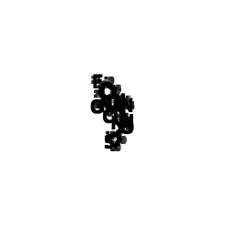 Cc1c2c(-c3noc(C4CCSC4)n3)ncn2c2ccc(F)cc2[n+]1[O-]